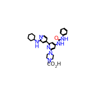 O=C(Nc1ccccc1)Nc1cc(-c2ccnc(NC3CCCCC3)c2)nc(N2CCN(C(=O)O)CC2)c1